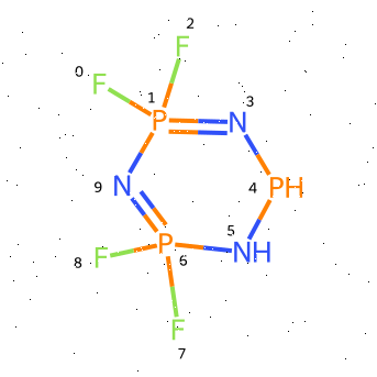 FP1(F)=NPNP(F)(F)=N1